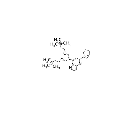 C[Si](C)(C)CCOCN(COCC[Si](C)(C)C)c1cc(C2CC3CCC2C3)nc2ccnn12